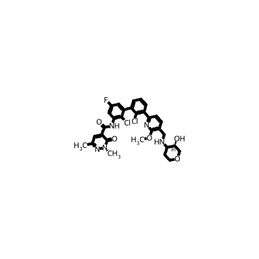 COc1nc(-c2cccc(-c3cc(F)cc(NC(=O)c4cc(C)nn(C)c4=O)c3Cl)c2Cl)ccc1CNC1CCOC[C@@H]1O